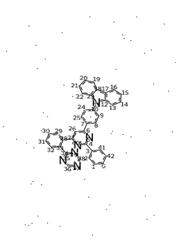 c1ccc(-c2nc(-c3ccc(-n4c5ccccc5c5ccccc54)cc3)cc(-c3ccccc3-c3ncncn3)n2)cc1